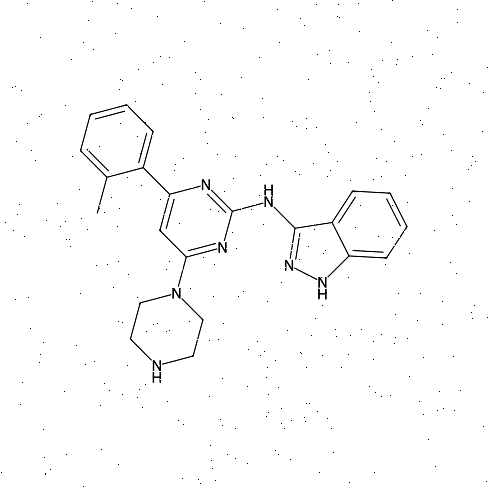 Cc1ccccc1-c1cc(N2CCNCC2)nc(Nc2n[nH]c3ccccc23)n1